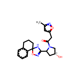 Cc1cc(CC(=O)N2C[C@H](O)CC2C2=NOC3(CCCc4ccccc43)N2)on1